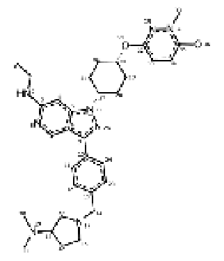 CCNc1cc2c(cn1)c(-c1ccc(CN3CC[C@@H](N(C)C)C3)cc1)nn2[C@H]1CC[C@@H](Oc2ccc(=O)n(C)n2)CC1